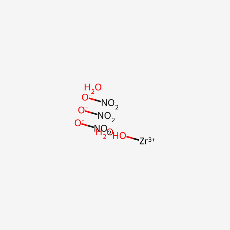 O.O.O=[N+]([O-])[O-].O=[N+]([O-])[O-].O=[N+]([O-])[O-].[OH][Zr+3]